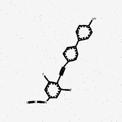 CCCc1ccc(-c2ccc(C#Cc3c(F)cc(N=C=S)cc3F)cc2)cc1